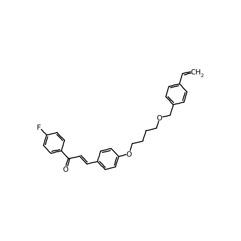 C=Cc1ccc(COCCCCOc2ccc(C=CC(=O)c3ccc(F)cc3)cc2)cc1